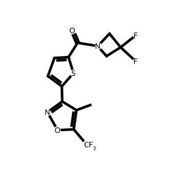 Cc1c(-c2ccc(C(=O)N3CC(F)(F)C3)s2)noc1C(F)(F)F